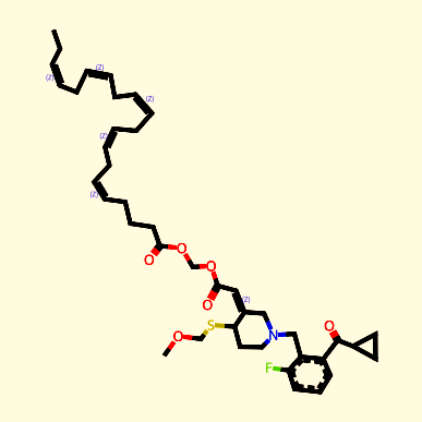 CC/C=C\C/C=C\C/C=C\C/C=C\C/C=C\CCCC(=O)OCOC(=O)/C=C1/CN(Cc2c(F)cccc2C(=O)C2CC2)CCC1SCOC